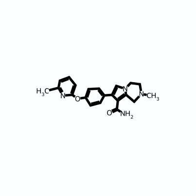 Cc1cccc(Oc2ccc(-c3cn4c(c3C(N)=O)CN(C)CC4)cc2)n1